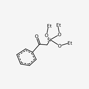 CCO[Si](CC(=O)c1ccccc1)(OCC)OCC